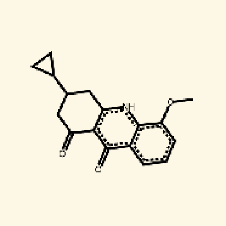 COc1cccc2c(=O)c3c([nH]c12)CC(C1CC1)CC3=O